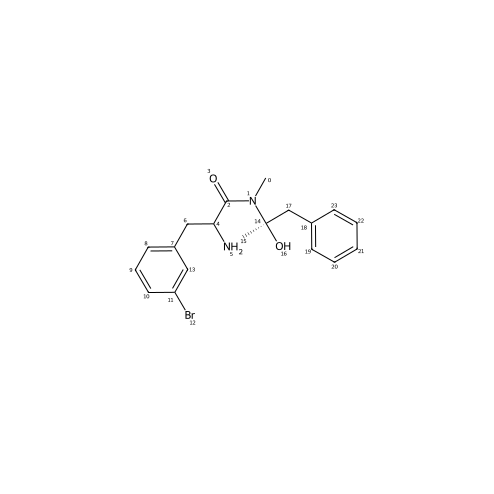 CN(C(=O)C(N)Cc1cccc(Br)c1)[C@](C)(O)Cc1ccccc1